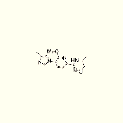 COc1nc(C2=NOCC(C)N2)ccc1-n1cnc(C)c1